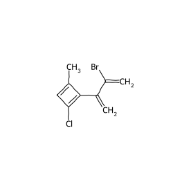 C=C(Br)C(=C)C1=C(Cl)C=C1C